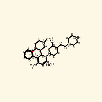 Cl.N#CN1CCC(C(N)=O)C(C2C(c3ccccc3)=C(C(F)(F)F)C=CN2N2CCC(CCN3CCNCC3)C(O)C2)C1